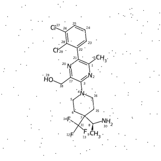 Cc1nc(N2CCC([C@H](C)N)(C(F)(F)F)CC2)c(CO)nc1-c1cccc(Cl)c1Cl